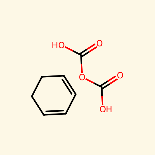 C1=CCCC=C1.O=C(O)OC(=O)O